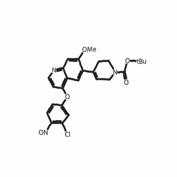 COc1cc2nccc(Oc3ccc(N=O)c(Cl)c3)c2cc1C1=CCN(C(=O)OC(C)(C)C)CC1